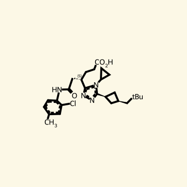 Cc1ccc(NC(=O)C[C@H](CCC(=O)O)c2nnc([C@H]3C[C@@H](CC(C)(C)C)C3)n2C2CC2)c(Cl)c1